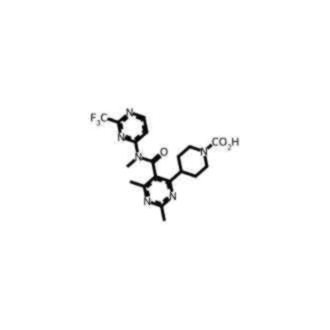 Cc1nc(C)c(C(=O)N(C)c2ccnc(C(F)(F)F)n2)c(C2CCN(C(=O)O)CC2)n1